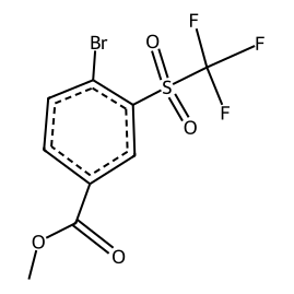 COC(=O)c1ccc(Br)c(S(=O)(=O)C(F)(F)F)c1